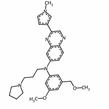 COCc1cc(OC)cc(N(CCCN2CCCC2)c2ccc3ncc(-c4ccn(C)c4)nc3c2)c1